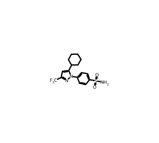 NS(=O)(=O)c1ccc(-n2nc(C(F)(F)F)cc2C2CCCCC2)cc1